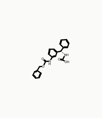 O=C(O)N[C@@H](c1ccccc1)c1cccc(NC(=O)OCc2ccccc2)c1